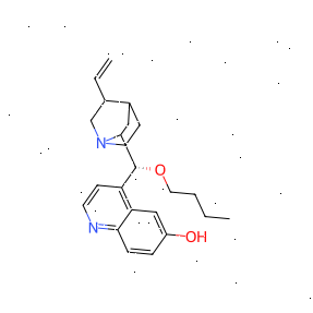 C=CC1CN2CCC1CC2[C@H](OCCCC)c1ccnc2ccc(O)cc12